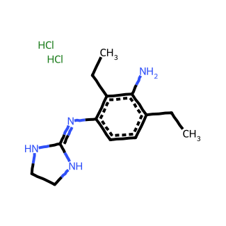 CCc1ccc(N=C2NCCN2)c(CC)c1N.Cl.Cl